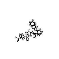 CC(C)c1cc(C(=O)N2CCC(NC(=O)c3ncccc3OCc3ccccc3)C2)[nH]n1